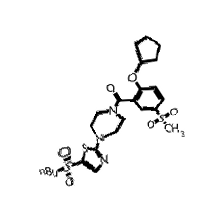 CCCCS(=O)(=O)c1cnc(N2CCN(C(=O)c3cc(S(C)(=O)=O)ccc3OC3CCCC3)CC2)s1